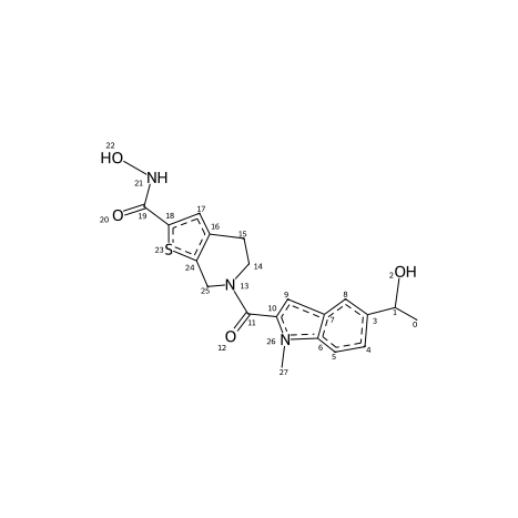 CC(O)c1ccc2c(c1)cc(C(=O)N1CCc3cc(C(=O)NO)sc3C1)n2C